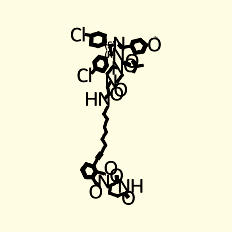 COc1ccc(C2=N[C@@H](c3ccc(Cl)cc3)[C@@H](c3ccc(Cl)cc3)N2C(=O)N2CCN(CC(=O)NCCCCCCCC#Cc3cccc4c3C(=O)N(C3CCC(=O)NC3=O)C4=O)C(=O)C2)c(OC(C)C)c1